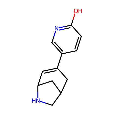 Oc1ccc(C2=CC3CC(CN3)C2)cn1